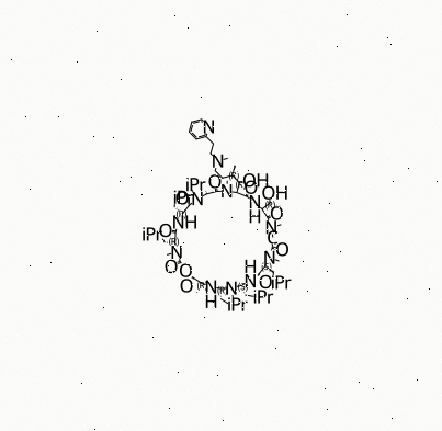 CC(C)C[C@@H]1C(=O)N[C@H](CC(C)C)C(=O)N(C)C(C(C)C)C(=O)N(C)C([C@H](O)[C@H](C)CCN(C)CCc2ccccn2)C(=O)NC([C@@H](C)O)C(=O)N(C)CC(=O)N(C)[C@@H](CC(C)C)C(=O)N[C@H](CC(C)C)N(C)[C@H](CC(C)C)N[C@H](C)C(=O)OC(=O)N1C